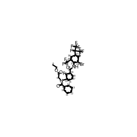 CCOC(=O)CN(C(=O)c1ccccc1)c1cccc(C(=O)Nc2c(Br)cc(C(F)(C(F)(F)F)C(F)(F)F)cc2C(F)(F)F)c1F